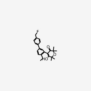 CCc1ccc(-c2ccc(CF)cc2)cc1C1=C(O)C(C)(C)OC(C)(C)C1=O